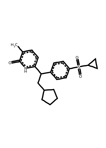 Cc1ccc(C(CC2CCCC2)c2ccc(S(=O)(=O)C3CC3)cc2)[nH]c1=O